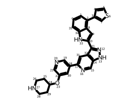 c1cc(-c2ccsc2)c2cc(-c3n[nH]c4cnc(-c5cncc(OC6CCNCC6)c5)cc34)[nH]c2c1